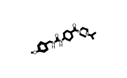 COc1ccc(CNC(=O)NC2CCC(C(=O)N3CCN(C(C)C)CC3)CC2)cc1